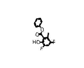 Cc1c(F)cc(F)c(O)c1C(=O)Oc1ccccc1